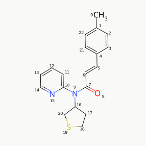 Cc1ccc(C=CC(=O)N(c2ccccn2)C2CCSC2)cc1